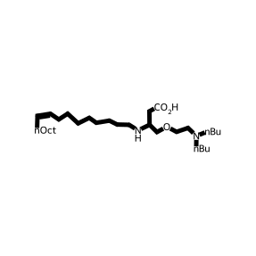 CCCCCCCC/C=C\CCCCCCCCNC(COCCN(CCCC)CCCC)CC(=O)O